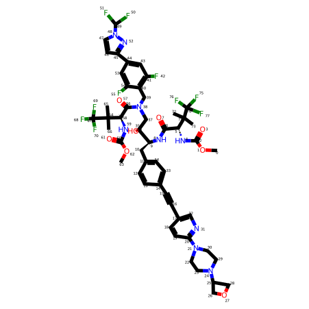 COC(=O)N[C@H](C(=O)N[C@@H](Cc1ccc(C#Cc2ccc(N3CCN(C4COC4)CC3)nc2)cc1)[C@@H](O)CN(Cc1c(F)cc(-c2ccn(C(F)F)n2)cc1F)C(=O)[C@@H](NC(=O)OC)C(C)(C)C(F)(F)F)C(C)(C)C(F)(F)F